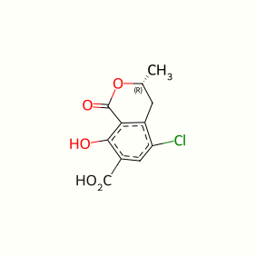 C[C@@H]1Cc2c(Cl)cc(C(=O)O)c(O)c2C(=O)O1